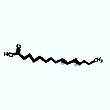 CCC/C=C/C=C/CCCCCCCC(=O)O